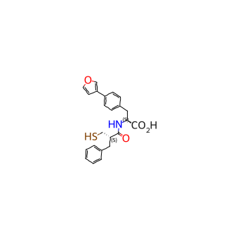 O=C(N[C@@H](Cc1ccc(-c2ccoc2)cc1)C(=O)O)[C@@H](CS)Cc1ccccc1